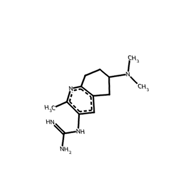 Cc1nc2c(cc1NC(=N)N)CC(N(C)C)CC2